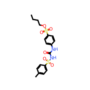 CCCCOS(=O)(=O)c1ccc(NC(=O)NS(=O)(=O)c2ccc(C)cc2)cc1